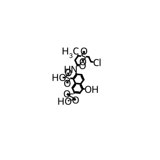 CC(CC(=O)Nc1ccc2c(O)cc(S(=O)(=O)O)cc2c1S(=O)(=O)O)S(=O)(=O)CCCl